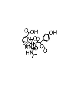 CC(C)NC(=O)NC1(NC(=O)C(OC=O)c2ccc(O)cc2)C(=O)N2C(C(=O)O)=CCS[C@H]21